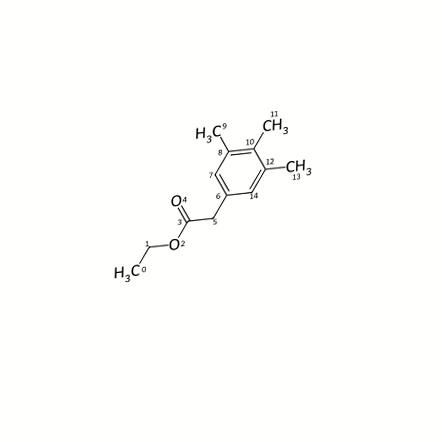 CCOC(=O)Cc1cc(C)c(C)c(C)c1